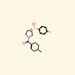 CC1CC=C(C(=O)N2CC[C@H]([S+]([O-])c3ccc(F)cc3)C2)CC1